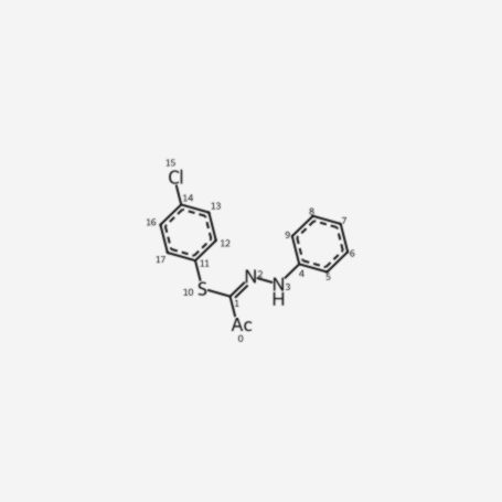 CC(=O)/C(=N\Nc1ccccc1)Sc1ccc(Cl)cc1